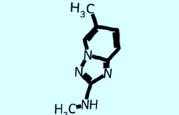 CNc1nc2ccc(C)cn2n1